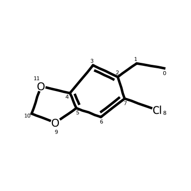 CCc1cc2c(cc1Cl)OCO2